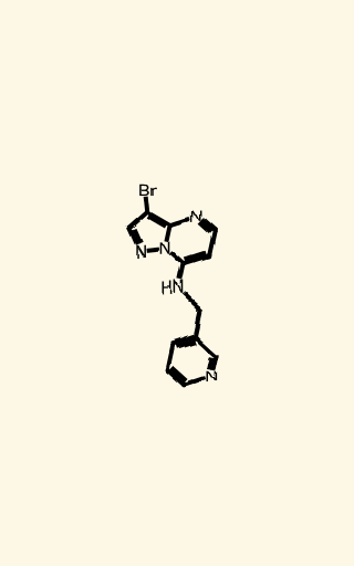 Brc1cnn2c(NCc3cccnc3)ccnc12